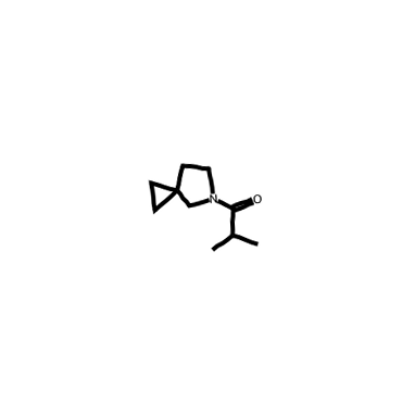 CC(C)C(=O)N1CCC2(CC2)C1